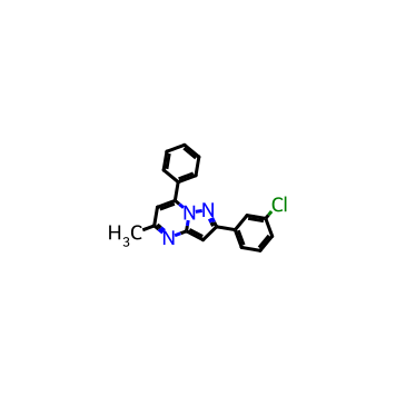 Cc1cc(-c2ccccc2)n2nc(-c3cccc(Cl)c3)cc2n1